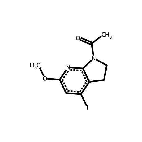 COc1cc(I)c2c(n1)N(C(C)=O)CC2